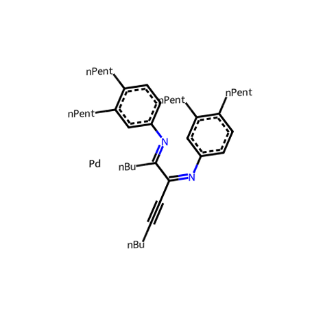 CCCCC#CC(=Nc1ccc(CCCCC)c(CCCCC)c1)C(CCCC)=Nc1ccc(CCCCC)c(CCCCC)c1.[Pd]